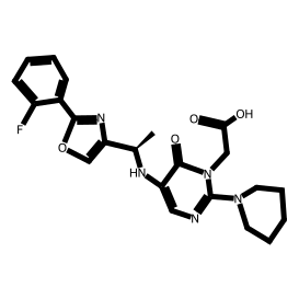 C[C@@H](Nc1cnc(N2CCCCC2)n(CC(=O)O)c1=O)c1coc(-c2ccccc2F)n1